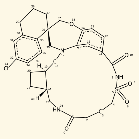 O=C1CCCS(=O)(=O)NC(=O)c2ccc3c(c2)N(C[C@@H]2CC[C@H]2CN1)C[C@@]1(CCCc2cc(Cl)ccc21)CO3